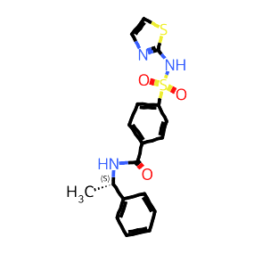 C[C@H](NC(=O)c1ccc(S(=O)(=O)Nc2nccs2)cc1)c1ccccc1